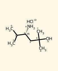 CC(C)[C@H](N)CC(C)(C)O.Cl